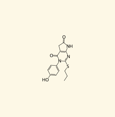 CCCSc1nc2c(c(=O)n1-c1ccc(O)cc1)CC(=O)N2